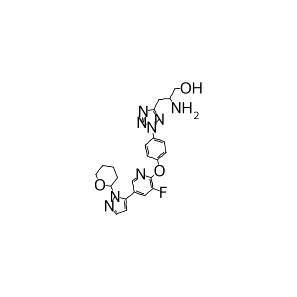 NC(CO)Cc1nnn(-c2ccc(Oc3ncc(-c4ccnn4C4CCCCO4)cc3F)cc2)n1